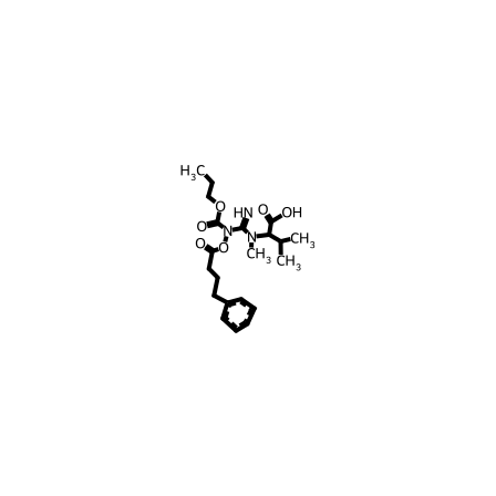 CCCOC(=O)N(OC(=O)CCCc1ccccc1)C(=N)N(C)C(C(=O)O)C(C)C